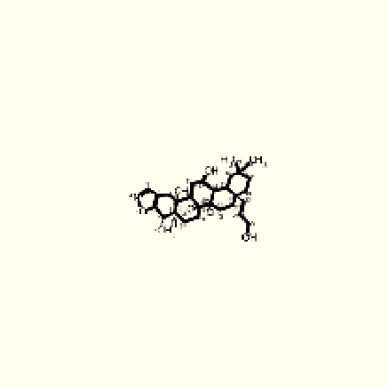 C[C@@H]1c2oncc2C[C@]2(C)C3=CC(O)C4C5CC(C)(C)CC[C@]5(CCCO)CC[C@@]4(C)[C@]3(C)CC[C@@H]12